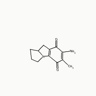 CC1=C(N)C(=O)C2=C(C1=O)N1CCCC1C2